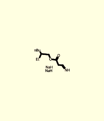 CCCCC(CC)COC(=O)CC=N.[NaH].[NaH]